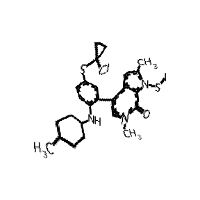 Cc1cc2c(-c3cc(SC4(Cl)CC4)ccc3NC3CCC(C)CC3)cn(C)c(=O)c2n1SI